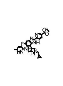 Cc1ccc(Nc2c(F)cc3nc(-c4ccc(C5OCCO5)cn4)[nH]c3c2-c2cn(CC3CC3)nc2C)nn1